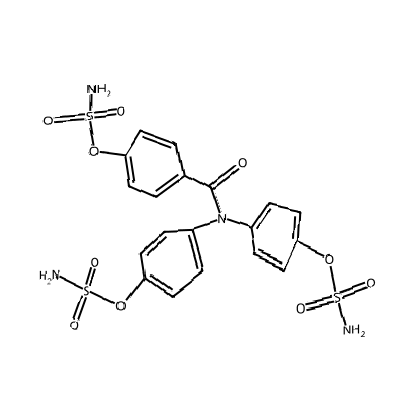 NS(=O)(=O)Oc1ccc(C(=O)N(c2ccc(OS(N)(=O)=O)cc2)c2ccc(OS(N)(=O)=O)cc2)cc1